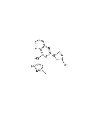 Cc1cc(Nc2nc([SH]3C=CC(Br)=C3)nc3ccccc23)[nH]n1